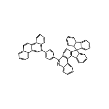 C1=CC2c3ccccc3C3(c4ccccc4-c4c3ccc3c(-c5ccc(-c6cc7c8ccccc8ccc7c7ccccc67)cc5)nc5ccccc5c43)C2C=C1